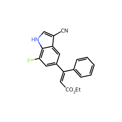 CCOC(=O)C=C(c1ccccc1)c1cc(F)c2[nH]cc(C#N)c2c1